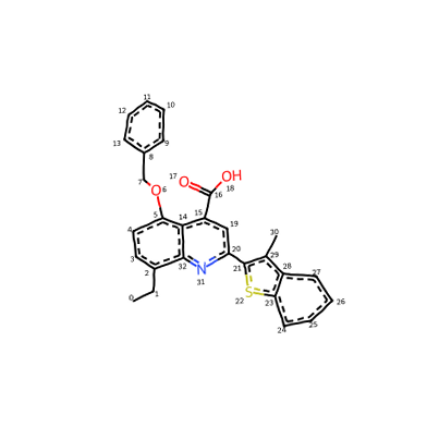 CCc1ccc(OCc2ccccc2)c2c(C(=O)O)cc(-c3sc4ccccc4c3C)nc12